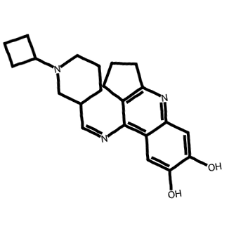 Oc1cc2nc3c(c(/N=C\C4CCCN(C5CCC5)C4)c2cc1O)CCC3